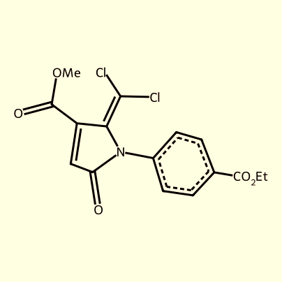 CCOC(=O)c1ccc(N2C(=O)C=C(C(=O)OC)C2=C(Cl)Cl)cc1